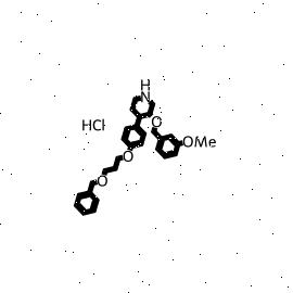 COc1cccc(COC2CNCCC2c2ccc(OCCCOCc3ccccc3)cc2)c1.Cl